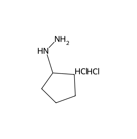 Cl.Cl.NNC1CCCC1